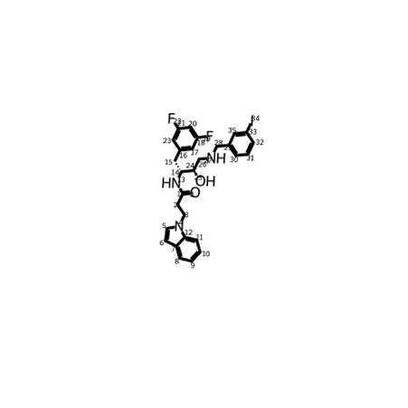 O=C(CCn1ccc2ccccc21)N[C@H](Cc1cc(F)cc(F)c1)[C@H](O)CNCc1cccc(I)c1